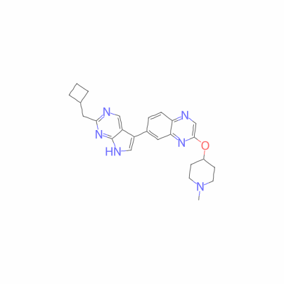 CN1CCC(Oc2cnc3ccc(-c4c[nH]c5nc(CC6CCC6)ncc45)cc3n2)CC1